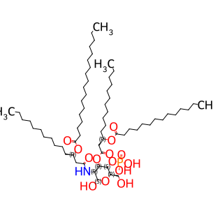 CCCCCCCCCCCCCCCCCC(=O)O[C@H](CCCCCCCCCCC)CC(=O)N[C@@H]1[C@@H](OC(=O)C[C@@H](CCCCCCCCCCC)OC(=O)CCCCCCCCCCCCC)[C@H](OP(=O)(O)O)[C@@H](CO)O[C@@H]1O